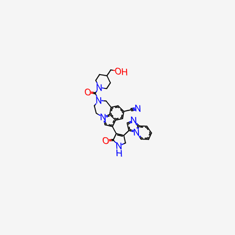 N#Cc1cc2c3c(c1)c(C1=C(c4cnc5ccccn45)CNC1=O)cn3CCN(C(=O)N1CCC(CO)CC1)C2